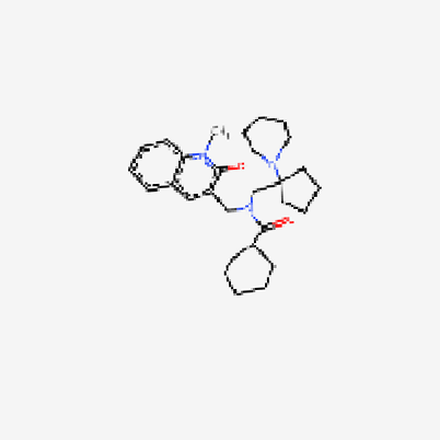 Cn1c(=O)c(CN(CC2(N3CCCCC3)CCCC2)C(=O)C2CCCCC2)cc2ccccc21